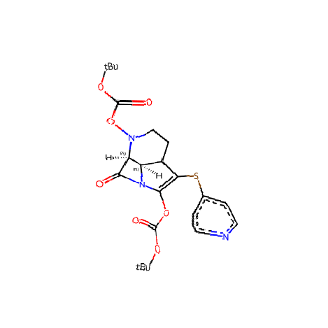 CC(C)(C)OC(=O)OC1=C(Sc2ccncc2)C2CCN(OC(=O)OC(C)(C)C)[C@@H]3C(=O)N1[C@H]23